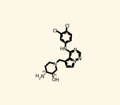 N[C@@H]1CCN(Cc2ccn3ncnc(Nc4ccc(Cl)c(Cl)c4)c23)C[C@H]1O